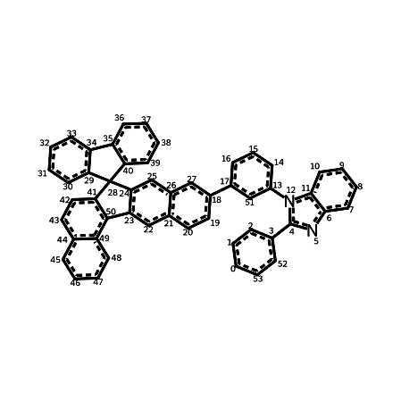 c1ccc(-c2nc3ccccc3n2-c2cccc(-c3ccc4cc5c(cc4c3)C3(c4ccccc4-c4ccccc43)c3ccc4ccccc4c3-5)c2)cc1